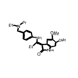 CCC(Nc1ccc(CN(CC)C(C)C)cc1)=C1C(=O)Nc2cc(OC)c(OC)cc21